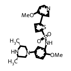 COc1ccc(N2C[C@@H](C)N[C@@H](C)C2)cc1NS(=O)(=O)c1ccc(-c2cnccc2OC)s1